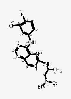 CCN(CC)CC(C)Nc1ncc2ncnc(Nc3ccc(F)c(Cl)c3)c2n1